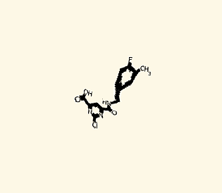 Cc1cc(CNC(=O)c2cc(C(=O)O)nc(Cl)n2)ccc1F